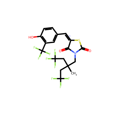 CC(CN1C(=O)S/C(=C/c2ccc(O)c(C(F)(F)F)c2)C1=O)(CC(F)(F)F)CC(F)(F)F